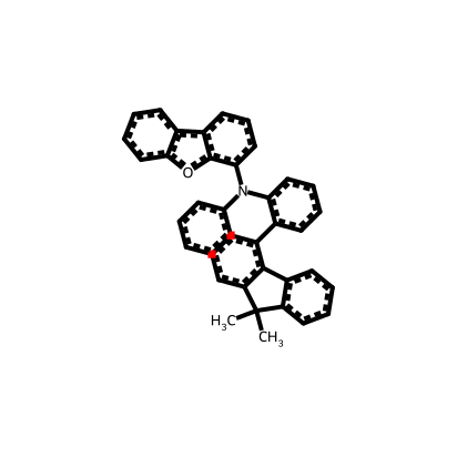 CC1(C)c2ccccc2-c2c(-c3ccccc3N(c3ccccc3)c3cccc4c3oc3ccccc34)cccc21